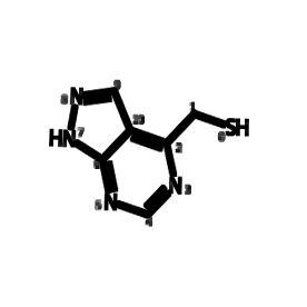 SCc1ncnc2[nH]ncc12